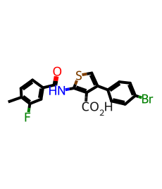 Cc1ccc(C(=O)Nc2scc(-c3ccc(Br)cc3)c2C(=O)O)cc1F